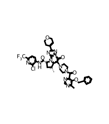 Cc1ncnc(C(=O)N2CCN(c3c4n(c5nc(C6=CCOCC6)nn5c3=O)[C@@H](C(=O)Nc3ccc(C(F)(F)F)nc3Cl)C[C@H]4C)CC2)c1OCc1ccccc1